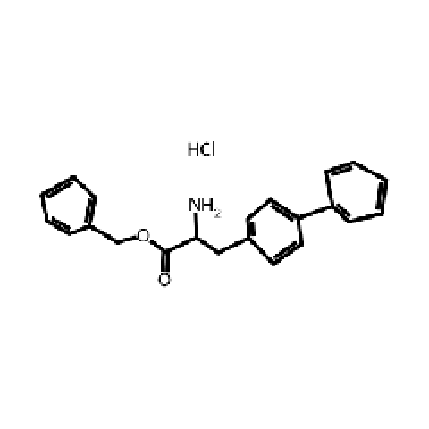 Cl.NC(Cc1ccc(-c2ccccc2)cc1)C(=O)OCc1ccccc1